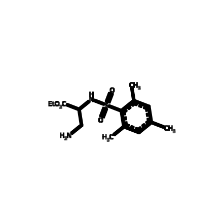 CCOC(=O)C(CN)NS(=O)(=O)c1c(C)cc(C)cc1C